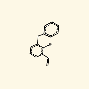 C=Cc1cccc(Cc2ccccc2)c1Br